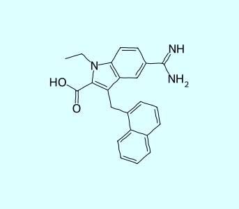 CCn1c(C(=O)O)c(Cc2cccc3ccccc23)c2cc(C(=N)N)ccc21